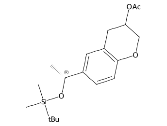 CC(=O)OC1COc2ccc([C@@H](C)O[Si](C)(C)C(C)(C)C)cc2C1